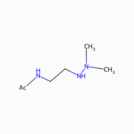 CC(=O)NCCNN(C)C